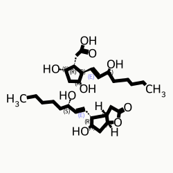 CCCCC[C@H](O)/C=C/[C@@H]1[C@@H](CC(=O)O)[C@@H](O)C[C@H]1O.CCCCC[C@H](O)/C=C/[C@@H]1[C@@H]2CC(=O)O[C@@H]2C[C@H]1O